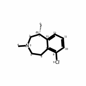 C[C@H]1CN(C)CCc2c(Cl)cccc21